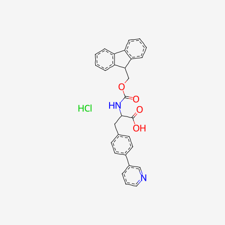 Cl.O=C(NC(Cc1ccc(-c2cccnc2)cc1)C(=O)O)OCC1c2ccccc2-c2ccccc21